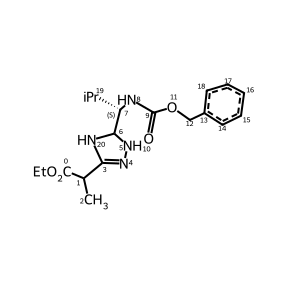 CCOC(=O)C(C)C1=NNC([C@@H](NC(=O)OCc2ccccc2)C(C)C)N1